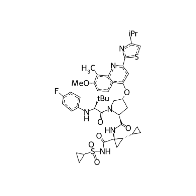 COc1ccc2c(O[C@@H]3C[C@@H](C(=O)N[C@]4(C(=O)NS(=O)(=O)C5CC5)C[C@H]4C4CC4)N(C(=O)[C@@H](Nc4ccc(F)cc4)C(C)(C)C)C3)cc(-c3nc(C(C)C)cs3)nc2c1C